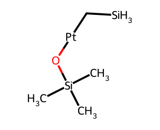 C[Si](C)(C)[O][Pt][CH2][SiH3]